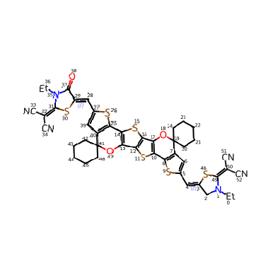 CCN1C/C(=C/c2cc3c(s2)-c2sc4c5c(sc4c2OC32CCCCC2)-c2sc(/C=c3\sc(=C(C#N)C#N)n(CC)c3=O)cc2C2(CCCCC2)O5)SC1=C(C#N)C#N